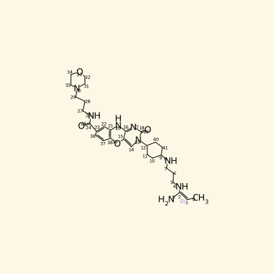 C/C=C(/N)NCCCNC1CCC(n2cc3c(nc2=O)Nc2cc(C(=O)NCCCN4CCOCC4)ccc2O3)CC1